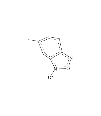 Cc1ccc2no[n+]([O-])c2c1